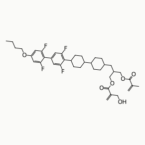 C=C(C)C(=O)OCC(COC(=O)C(=C)CO)CC1CCC(C2CCC(c3c(F)cc(-c4c(F)cc(OCCCC)cc4F)cc3F)CC2)CC1